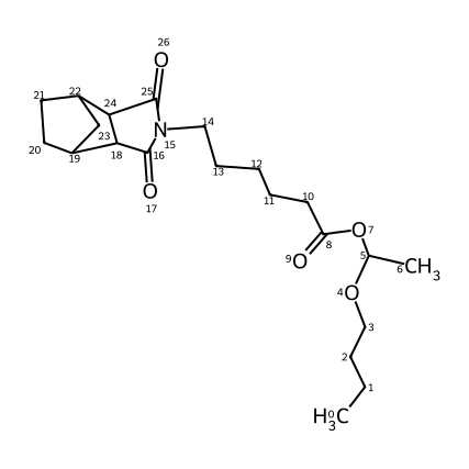 CCCCOC(C)OC(=O)CCCCCN1C(=O)C2C3CCC(C3)C2C1=O